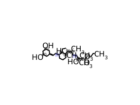 CCCOC(=O)C(C)(C)[C@H](O)/C=C/[C@@H](C)[C@H]1CC[C@H]2/C(=C/C=C3C[C@@H](O)C[C@H](O)C3)CCC[C@]12C